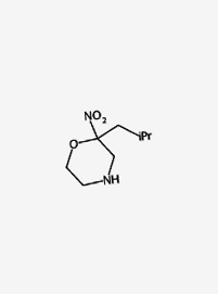 CC(C)CC1([N+](=O)[O-])CNCCO1